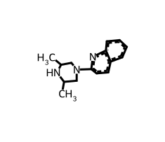 CC1CN(c2ccc3ccccc3n2)CC(C)N1